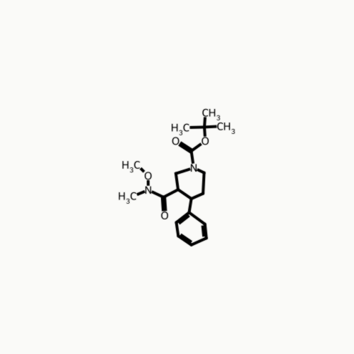 CON(C)C(=O)C1CN(C(=O)OC(C)(C)C)CCC1c1ccccc1